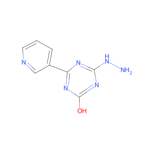 NNc1nc(O)nc(-c2cccnc2)n1